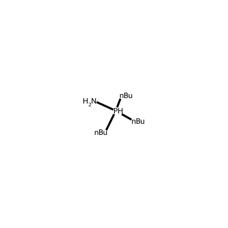 CCCC[PH](N)(CCCC)CCCC